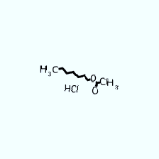 CCCCCCCOC(C)=O.Cl